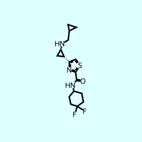 O=C(NC1CCC(F)(F)CC1)c1nc([C@@H]2C[C@H]2NCC2CC2)cs1